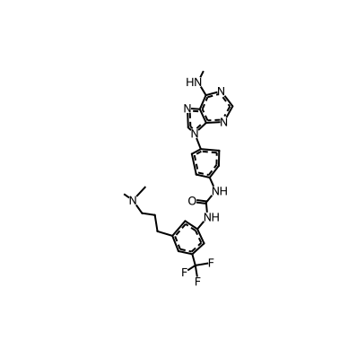 CNc1ncnc2c1ncn2-c1ccc(NC(=O)Nc2cc(CCCN(C)C)cc(C(F)(F)F)c2)cc1